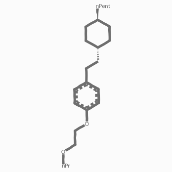 CCCCC[C@H]1CC[C@H](CCc2ccc(OCCOCCC)cc2)CC1